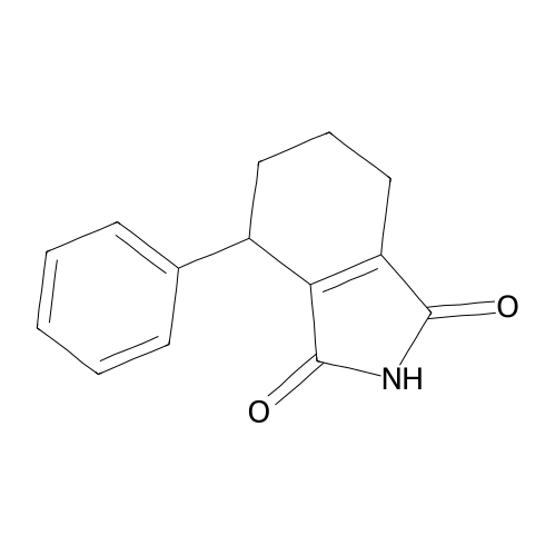 O=C1NC(=O)C2=C1CCCC2c1ccccc1